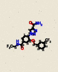 NC(=O)c1cn(-c2ccc(C(=O)NCC(F)(F)F)cc2OCc2cccc(C(F)(F)F)c2)nn1